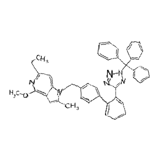 CCc1cc2c(cc(C)n2Cc2ccc(-c3ccccc3-c3nnn(C(c4ccccc4)(c4ccccc4)c4ccccc4)n3)cc2)c(OC)n1